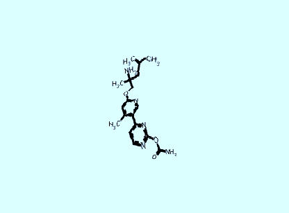 Cc1cc(OCC(C)(N)CC(C)C)ncc1-c1ccnc(OC(N)=O)n1